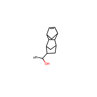 CCCC(O)C1CC2CC1C1C3C=CC(C3)C21